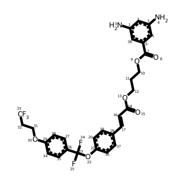 Nc1cc(N)cc(C(=O)OCCCOC(=O)/C=C/c2ccc(OC(F)(F)c3ccc(OCCC(F)(F)F)cc3)cc2)c1